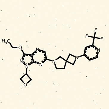 CCOc1nn(C2COC2)c2nc(N3CCC4(CN(c5ccnc(C(F)(F)F)c5)C4)C3)cnc12